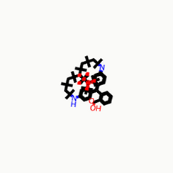 CC(C)(C)CC(C)(C)CC(C)(C)CC(C)(C)CC(C)(C)/N=c1/ccc2c(-c3ccccc3C(=O)O)c3ccc(NC(C)(C)CC(C)(C)CC(C)(C)CC(C)(C)CC(C)(C)C)cc3oc-2c1